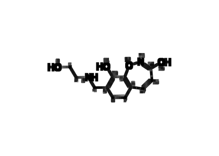 OCCNCc1ccc2c(c1O)ON=C(O)C=C2